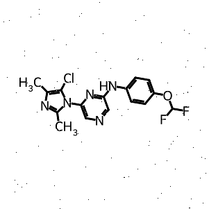 Cc1nc(C)n(-c2cncc(Nc3ccc(OC(F)F)cc3)n2)c1Cl